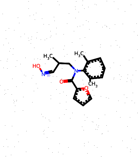 Cc1cccc(C)c1N(CC(C)/C=N\O)C(=O)c1ccco1